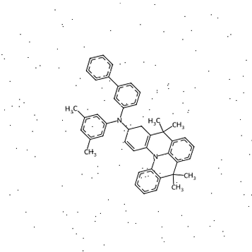 Cc1cc(C)cc(N(c2cccc(-c3ccccc3)c2)C2C=CC3=C(C2)C(C)(C)c2cccc4c2N3c2ccccc2C4(C)C)c1